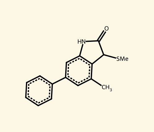 CSC1C(=O)Nc2cc(-c3ccccc3)cc(C)c21